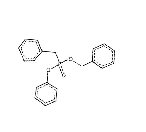 O=P(Cc1ccccc1)(OCc1ccccc1)Oc1ccccc1